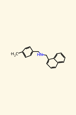 [CH2]c1ccc(CNCc2cccc3ccccc23)cc1